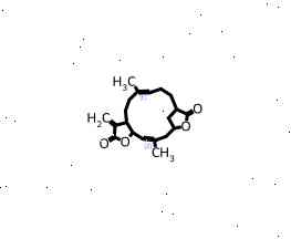 C=C1C(=O)OC2/C=C(/C)CC3CC(CC/C=C(\C)CCC12)C(=O)O3